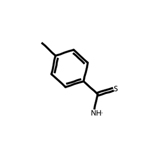 Cc1ccc(C([NH])=S)cc1